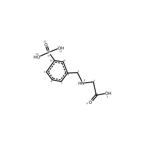 O=C(O)CNCc1cccc(P(=O)(O)O)c1